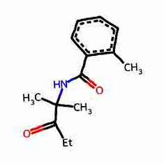 CCC(=O)C(C)(C)NC(=O)c1ccccc1C